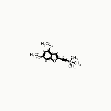 COc1cc(OC)c2cc(C#C[Si](C)(C)C)oc2c1